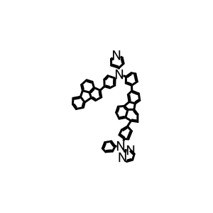 c1ccc(N(c2ccc(-c3ccc4c5c(cccc35)-c3cc(-c5cccc(N(c6ccncc6)c6ccc(-c7ccc8c9c(cccc79)-c7ccccc7-8)cc6)c5)ccc3-4)cc2)c2ncccn2)cc1